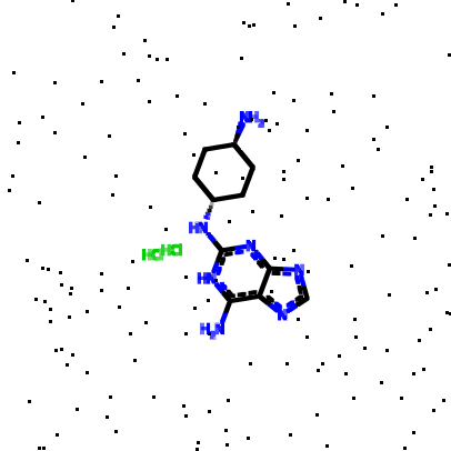 Cl.Cl.Nc1[nH]c(N[C@H]2CC[C@H](N)CC2)nc2ncnc1-2